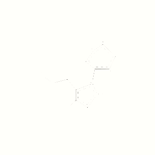 CCOC(=O)c1cnn(-c2ccccc2)c1COC(C)(C)C